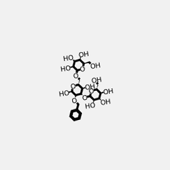 OC[C@H]1OC(OC[C@H]2O[C@H](O)[C@@H](OCc3ccccc3)[C@@H](OC3O[C@H](CO)[C@@H](O)[C@H](O)[C@@H]3O)[C@@H]2O)[C@@H](O)[C@@H](O)[C@@H]1O